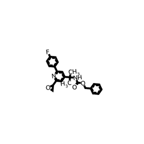 CC(C)(NC(=O)OCc1ccccc1)c1cc(-c2ccc(F)cc2)nc(C2CO2)c1